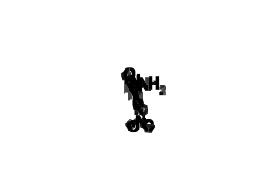 Nc1cc(N2CCN3CC(CN(Cc4ccco4)Cc4ccco4)CCC3C2)nc2nc(-c3ccco3)nn12